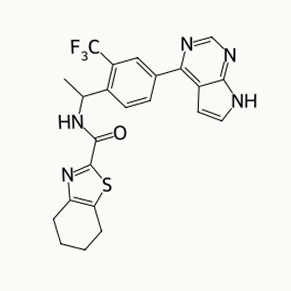 CC(NC(=O)c1nc2c(s1)CCCC2)c1ccc(-c2ncnc3[nH]ccc23)cc1C(F)(F)F